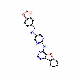 c1ccc2c(c1)oc1c(Nc3ncc(NCc4ccc5c(c4)OCO5)cn3)ncnc12